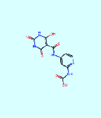 O=C(O)Nc1cc(NC(=O)c2c(O)[nH]c(=O)[nH]c2=O)ccn1